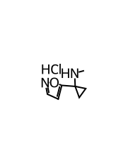 CNC1(c2ccno2)CC1.Cl